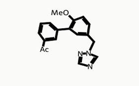 COc1ccc(Cn2cncn2)cc1-c1cccc(C(C)=O)c1